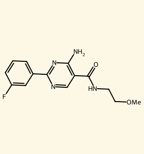 COCCNC(=O)c1cnc(-c2cccc(F)c2)nc1N